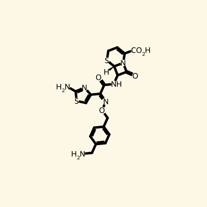 NCc1ccc(CON=C(C(=O)NC2C(=O)N3C(C(=O)O)=CCS[C@@H]23)c2csc(N)n2)cc1